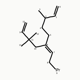 C=CC(C)CCC(=CCC(C)C)CC(C)(C)C=C